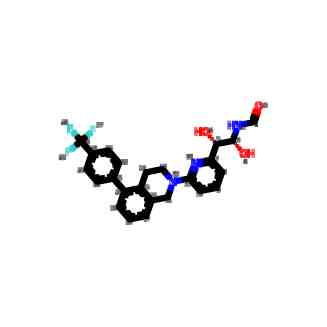 O=CN[C@H](O)[C@@H](O)c1cccc(N2CCc3c(cccc3-c3ccc(C(F)(F)F)cc3)C2)n1